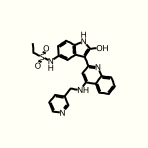 CCS(=O)(=O)Nc1ccc2[nH]c(O)c(-c3cc(NCc4cccnc4)c4ccccc4n3)c2c1